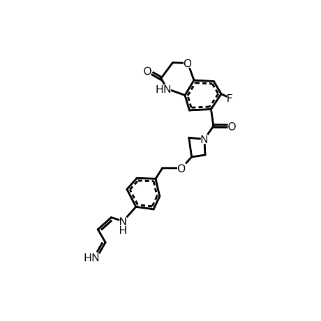 N=C/C=C\Nc1ccc(COC2CN(C(=O)c3cc4c(cc3F)OCC(=O)N4)C2)cc1